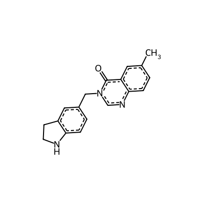 Cc1ccc2ncn(Cc3ccc4c(c3)CCN4)c(=O)c2c1